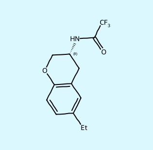 CCc1ccc2c(c1)C[C@@H](NC(=O)C(F)(F)F)CO2